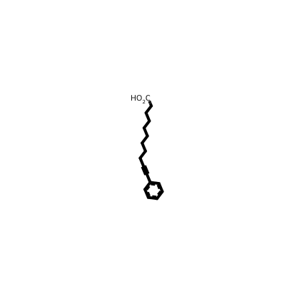 O=C(O)CCCCCCCCC#Cc1ccccc1